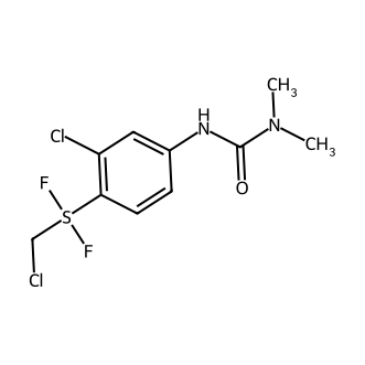 CN(C)C(=O)Nc1ccc(S(F)(F)CCl)c(Cl)c1